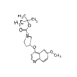 COc1ccc2nccc(OC3CCN(C(=O)OC(C)(C)C)C3)c2c1